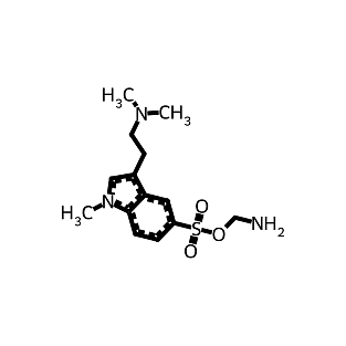 CN(C)CCc1cn(C)c2ccc(S(=O)(=O)OCN)cc12